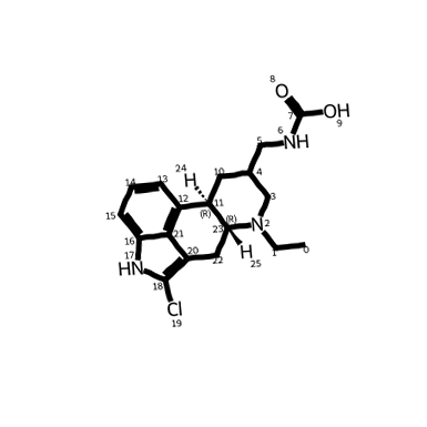 CCN1CC(CNC(=O)O)C[C@@H]2c3cccc4[nH]c(Cl)c(c34)C[C@H]21